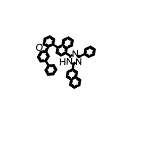 c1ccc(C2=NC(c3ccc(-c4cccc5oc6ccc(-c7ccccc7)cc6c45)c4ccccc34)NC(c3ccc4ccccc4c3)=N2)cc1